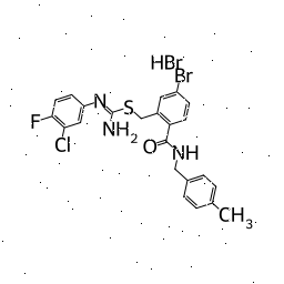 Br.Cc1ccc(CNC(=O)c2ccc(Br)cc2CS/C(N)=N/c2ccc(F)c(Cl)c2)cc1